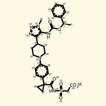 C[C@@H](OC(=O)Nc1c(C2CCN(c3ccc(C4(C(=O)NS(=O)(=O)CC(=O)O)CC4)cc3)CC2)nnn1C)c1ccccc1